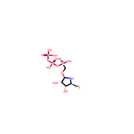 B[C@@H]1N[C@H](OC[PH](O)(O)OP(=O)(O)OP(=O)(O)O)[C@@H](O)[C@H]1O